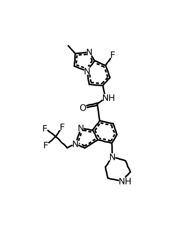 Cc1cn2cc(NC(=O)c3ccc(N4CCNCC4)c4cn(CC(F)(F)F)nc34)cc(F)c2n1